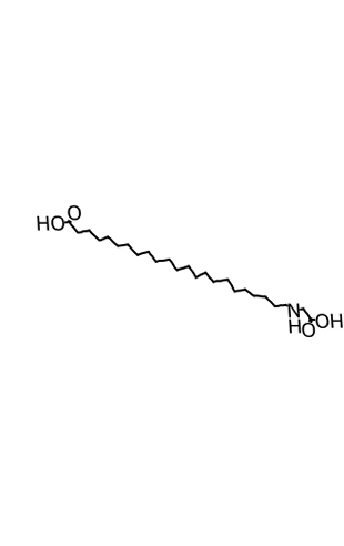 O=C(O)CCCCCCCCCCCCCCCCCCCCCCNCC(=O)O